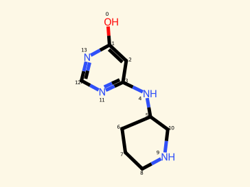 Oc1cc(NC2CCCNC2)n[c]n1